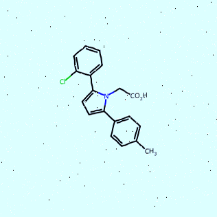 Cc1ccc(-c2ccc(-c3ccccc3Cl)n2CC(=O)O)cc1